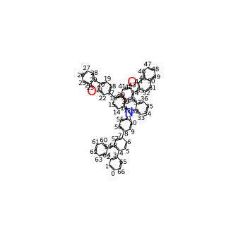 c1ccc(-c2ccc(-c3ccc(N(c4ccc(-c5ccc6c(c5)oc5ccccc56)cc4)c4ccccc4-c4cccc5oc6c7ccccc7ccc6c45)cc3)cc2-c2ccccc2)cc1